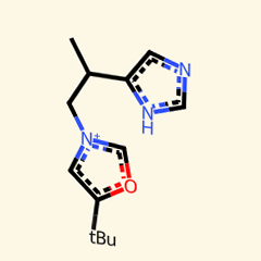 CC(C[n+]1coc(C(C)(C)C)c1)c1cnc[nH]1